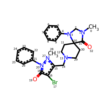 CN1CN(c2ccccc2)C2(CCN(Cc3c(Br)c(=O)n(-c4ccccc4)n3C)CC2)C1=O